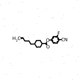 C=CCCCC1CCC(C(=O)Oc2ccc(C#N)c(F)c2)CC1